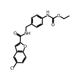 CCOC(=O)Nc1ccc(CNC(=O)c2cc3cc(Cl)ccc3o2)cc1